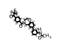 CC(=O)Nc1cccc(-c2ccc3c(c2)CN(C(=O)c2ccc(C(=O)C(F)(F)F)cc2)CCO3)c1